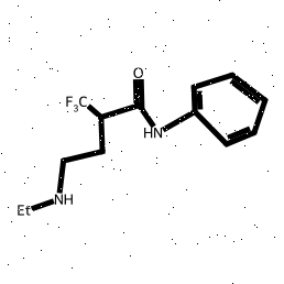 CCNCCC(C(=O)Nc1ccccc1)C(F)(F)F